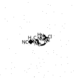 Cc1c2c(nn1C13CC(C#N)(C1)C3)OCCCn1nc(Cl)c3cnc(nc31)N2